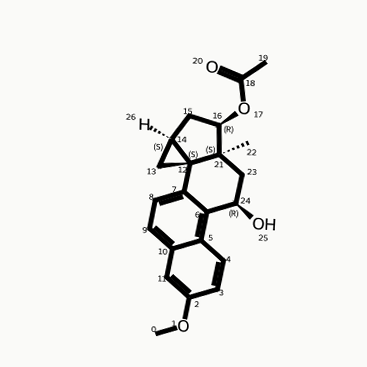 COc1ccc2c3c(ccc2c1)[C@]12C[C@H]1C[C@@H](OC(C)=O)[C@@]2(C)C[C@H]3O